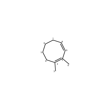 CC1=C(C)CCCCC=C1